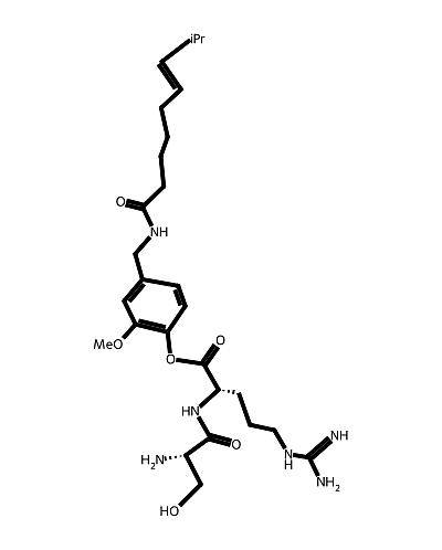 COc1cc(CNC(=O)CCCC/C=C/C(C)C)ccc1OC(=O)[C@H](CCCNC(=N)N)NC(=O)[C@@H](N)CO